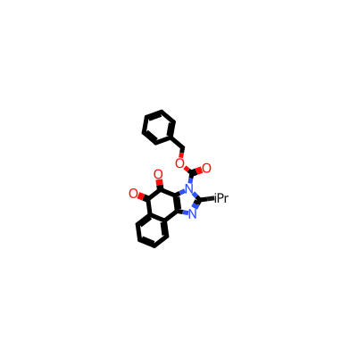 CC(C)c1nc2c(n1C(=O)OCc1ccccc1)C(=O)C(=O)c1ccccc1-2